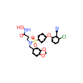 N#Cc1c(Cl)cccc1Oc1ccc(S(=O)(=O)N(CCC(=O)NO)Cc2ccc3c(c2)OCO3)cc1